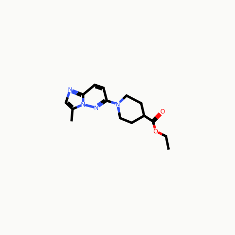 CCOC(=O)C1CCN(c2ccc3ncc(C)n3n2)CC1